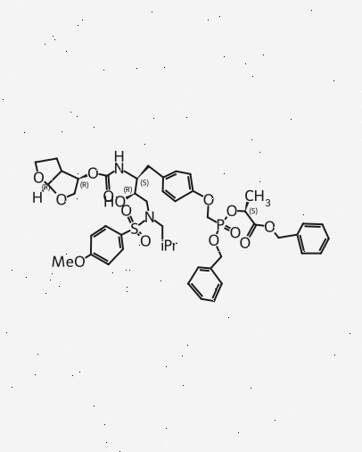 COc1ccc(S(=O)(=O)N(CC(C)C)C[C@@H](O)[C@H](Cc2ccc(OCP(=O)(OCc3ccccc3)O[C@@H](C)C(=O)OCc3ccccc3)cc2)NC(=O)O[C@H]2CO[C@H]3OCCC32)cc1